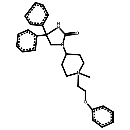 C[N+]1(CCOc2ccccc2)CCC(N2CC(c3ccccc3)(c3ccccc3)NC2=O)CC1